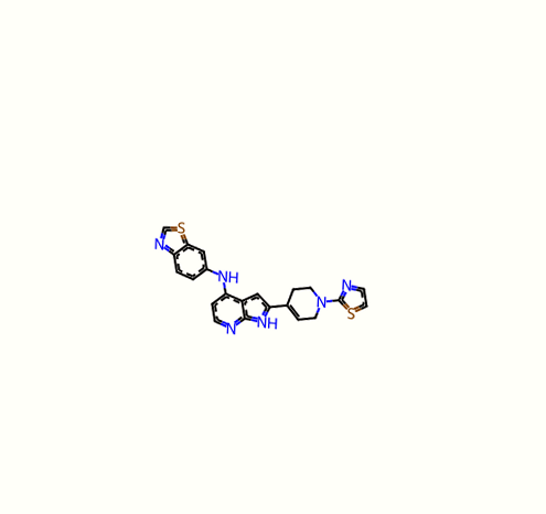 C1=C(c2cc3c(Nc4ccc5ncsc5c4)ccnc3[nH]2)CCN(c2nccs2)C1